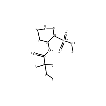 CCC(C)(C)C(=O)OC1CCCCC1S(=O)(=O)NC